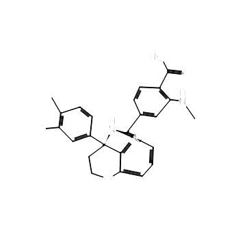 CNc1cc(C(=O)N[C@]2(c3ccc(C)c(F)c3)CCOc3cccnc32)ccc1C(=O)O